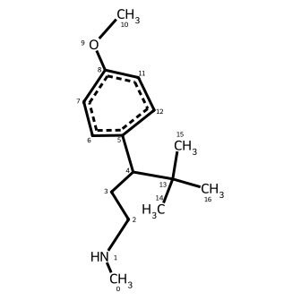 CNCCC(c1ccc(OC)cc1)C(C)(C)C